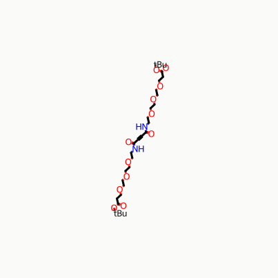 CC(C)(C)OC(=O)CCOCCOCCOCCNC(=O)C#CC(=O)NCCOCCOCCOCCC(=O)OC(C)(C)C